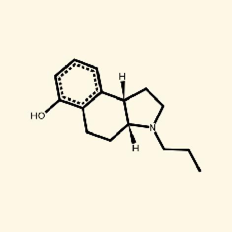 CCCN1CC[C@H]2c3cccc(O)c3CC[C@H]21